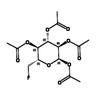 CC(=O)O[C@H]1O[C@H](CF)[C@@H](OC(C)=O)[C@H](OC(C)=O)[C@H]1OC(C)=O